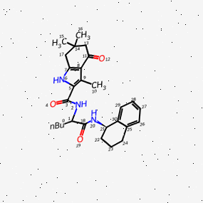 CCCCC(NC(=O)c1[nH]c2c(c1C)C(=O)CC(C)(C)C2)C(=O)N[C@@H]1CCCc2ccccc21